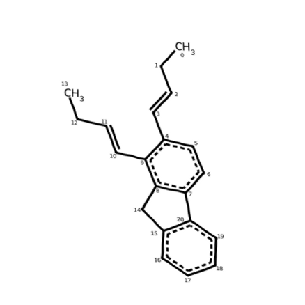 CCC=Cc1ccc2c(c1C=CCC)Cc1ccccc1-2